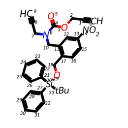 C#CCOC(=O)N(CC#C)Cc1cc([N+](=O)[O-])ccc1CO[Si](c1ccccc1)(c1ccccc1)C(C)(C)C